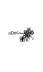 CCCCCCCCCCCCCCCC(CC)S(C(N)=O)(c1ccc(S(=O)(=O)[O-])cc1)C(C(=O)Nc1ccccc1)C(=O)C(C)(C)C.[K+]